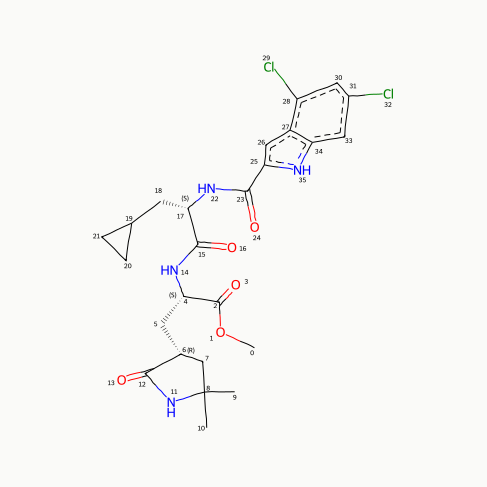 COC(=O)[C@H](C[C@@H]1CC(C)(C)NC1=O)NC(=O)[C@H](CC1CC1)NC(=O)c1cc2c(Cl)cc(Cl)cc2[nH]1